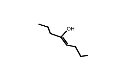 [CH2]CCC(O)=CCCC